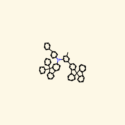 Cc1cc(-c2ccc3c(c2)-c2ccccc2C32c3ccccc3-c3ccccc32)cc(N(c2ccc(-c3ccccc3)cc2)c2ccc3c(c2)C(c2ccccc2)(c2ccccc2)c2ccccc2-3)c1